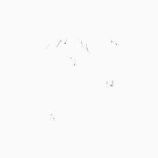 N#Cc1c(SCCc2ccccn2)nc(N)nc1-c1ccccn1